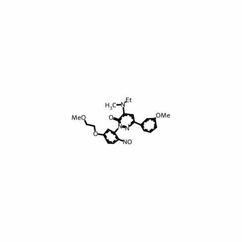 CCN(C)c1cc(-c2cccc(OC)c2)nn(-c2cc(OCCOC)ccc2N=O)c1=O